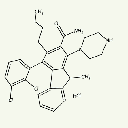 CCCCc1c(C(N)=O)c(N2CCNCC2)c2c(c1-c1cccc(Cl)c1Cl)-c1ccccc1C2C.Cl